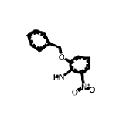 CNc1c(OCc2ccccc2)cccc1[N+](=O)[O-]